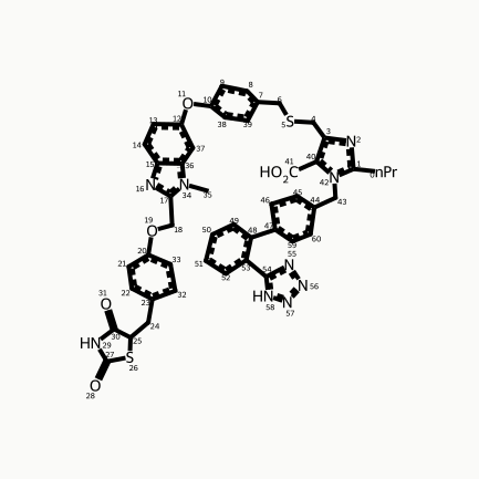 CCCc1nc(CSCc2ccc(Oc3ccc4nc(COc5ccc(CC6SC(=O)NC6=O)cc5)n(C)c4c3)cc2)c(C(=O)O)n1Cc1ccc(-c2ccccc2-c2nnn[nH]2)cc1